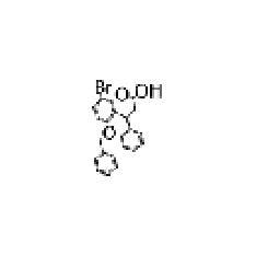 O=C(O)C[C@@H](c1ccccc1)c1cc(Br)ccc1OCc1ccccc1